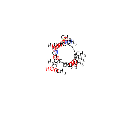 CCS(=O)(=O)N[C@@H]1C[C@@H]2CC[C@@H](C)[C@@](O)(O2)C(=O)C(=O)N2CCCC[C@H]2C(=O)O[C@H]([C@H](C)C[C@@H]2CC[C@@H](O)[C@H](OC)C2)CC[C@H](C)/C=C(\C)[C@@H](O)[C@@H](OC)C(=O)[C@H](C)C[C@H](C)/C=C/C=C/C=C/1C